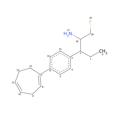 CCC(c1ccc(C2=CCC=CCC2)cc1)C(N)CF